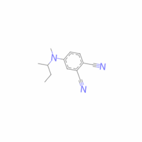 CCC(C)N(C)c1ccc(C#N)c(C#N)c1